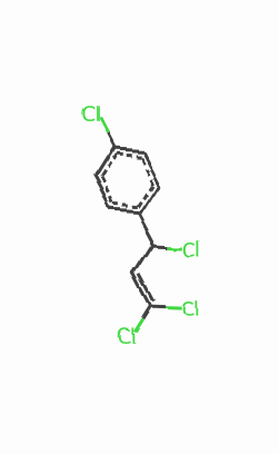 ClC(Cl)=CC(Cl)c1ccc(Cl)cc1